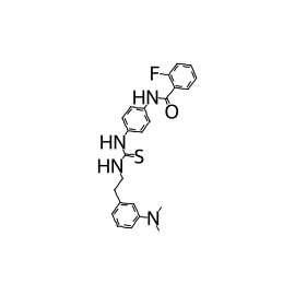 CN(C)c1cccc(CCNC(=S)Nc2ccc(NC(=O)c3ccccc3F)cc2)c1